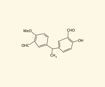 COc1ccc(C(C)c2ccc(O)c(C=O)c2)cc1C=O